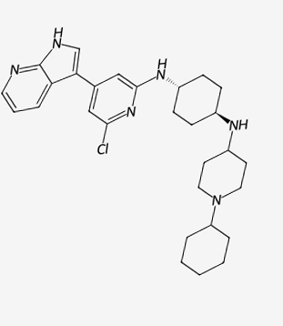 Clc1cc(-c2c[nH]c3ncccc23)cc(N[C@H]2CC[C@H](NC3CCN(C4CCCCC4)CC3)CC2)n1